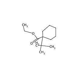 CCOC(=O)C1(C(C)(C)C)CCCCC1